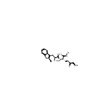 CC(=O)N[C@@H](Cc1c(Br)[nH]c2ccccc12)C(=O)N[C@@H](CCC(=O)C=N)C(=O)OC(C)C